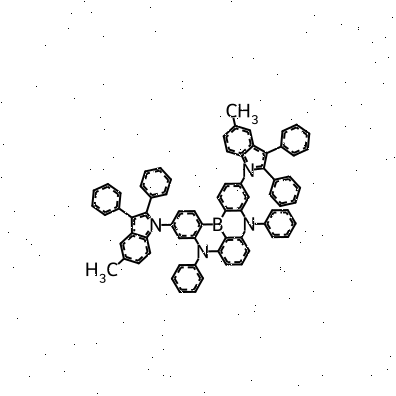 Cc1ccc2c(c1)c(-c1ccccc1)c(-c1ccccc1)n2-c1ccc2c(c1)N(c1ccccc1)c1cccc3c1B2c1ccc(-n2c(-c4ccccc4)c(-c4ccccc4)c4cc(C)ccc42)cc1N3c1ccccc1